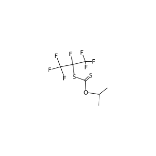 CC(C)OC(=S)SC(F)(C(F)(F)F)C(F)(F)F